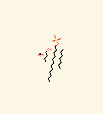 CCCCCCC.CCCCCCCCCCCCOS(=O)(=O)[O-].CCCCO.O.[Na+]